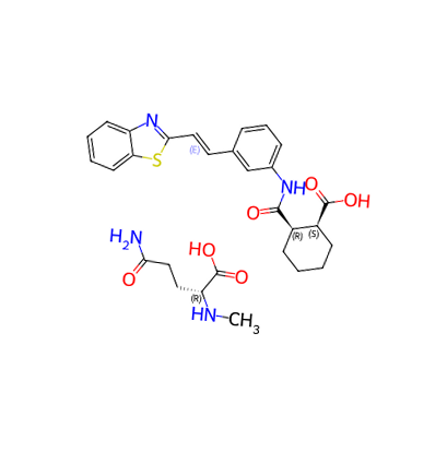 CN[C@H](CCC(N)=O)C(=O)O.O=C(O)[C@H]1CCCC[C@H]1C(=O)Nc1cccc(/C=C/c2nc3ccccc3s2)c1